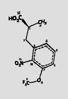 C[C@@H](Cc1cccc(OC(F)(F)F)c1[N+](=O)[O-])C(=O)O